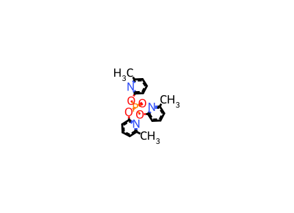 Cc1cccc(OP(=O)(Oc2cccc(C)n2)Oc2cccc(C)n2)n1